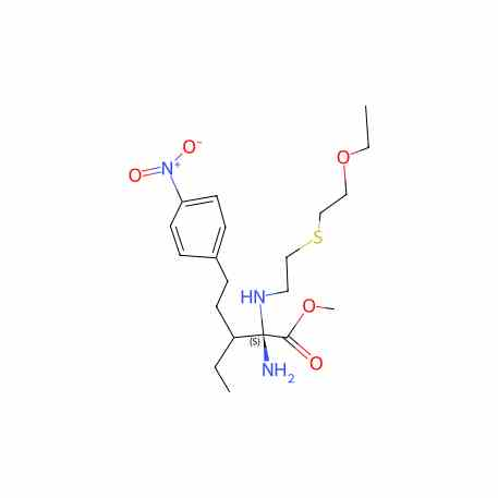 CCOCCSCCN[C@](N)(C(=O)OC)C(CC)CCc1ccc([N+](=O)[O-])cc1